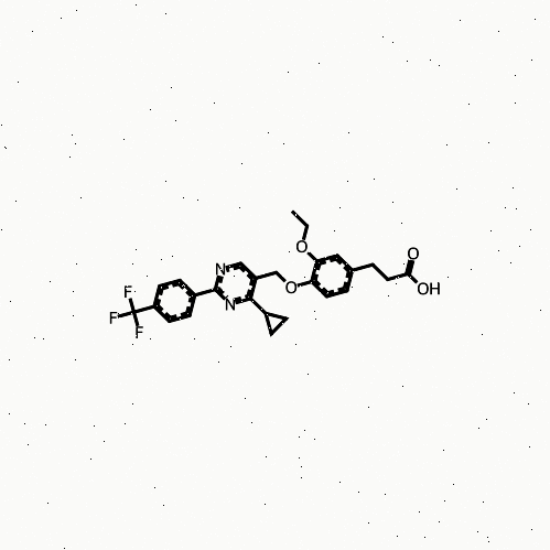 CCOc1cc(CCC(=O)O)ccc1OCc1cnc(-c2ccc(C(F)(F)F)cc2)nc1C1CC1